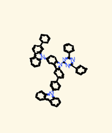 c1ccc(-c2ccc3c4ccccc4n(-c4ccc5c(c4)c4cc(-c6ccc(-n7c8ccccc8c8ccccc87)cc6)ccc4n5-c4nc(-c5ccccc5)nc(-c5ccccc5)n4)c3c2)cc1